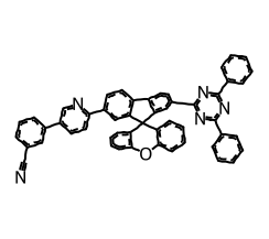 N#Cc1cccc(-c2ccc(-c3ccc4c(c3)C3(c5ccccc5Oc5ccccc53)c3cc(-c5nc(-c6ccccc6)nc(-c6ccccc6)n5)ccc3-4)nc2)c1